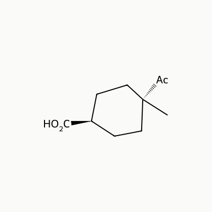 CC(=O)[C@]1(C)CC[C@@H](C(=O)O)CC1